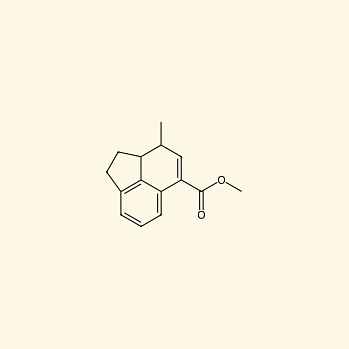 COC(=O)C1=CC(C)C2CCc3cccc1c32